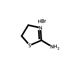 Br.NC1=NCCS1